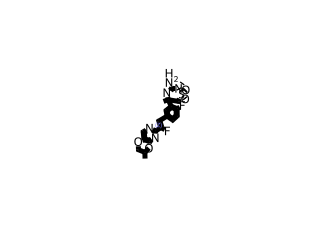 CC1COc2cnc(/C(F)=C/c3ccc(F)c(C4(C)CS(=O)(=O)N(C)C(N)=N4)c3)nc2O1